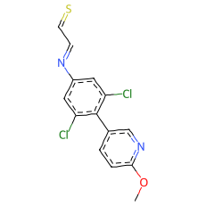 COc1ccc(-c2c(Cl)cc(N=CC=S)cc2Cl)cn1